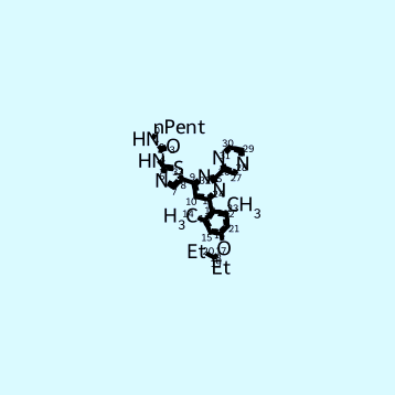 CCCCCNC(=O)Nc1ncc(-c2cc(-c3c(C)cc(OC(CC)CC)cc3C)nc(-c3cnccn3)n2)s1